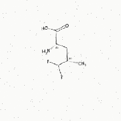 C[C@@H](C[C@H](N)C(=O)O)C(F)F